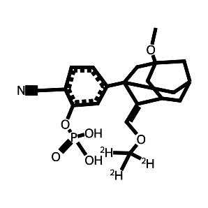 [2H]C([2H])([2H])OC=C1C2CC3CC(OC)(C2)CC1(c1ccc(C#N)c(OP(=O)(O)O)c1)C3